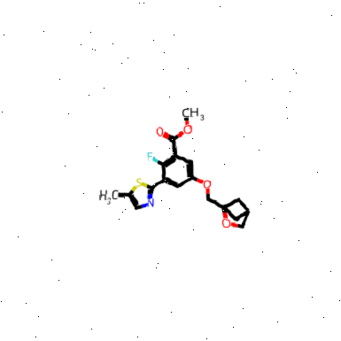 COC(=O)c1cc(OCC23CC(CO2)C3)cc(-c2ncc(C)s2)c1F